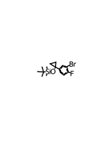 CC(C)(C)[Si](C)(C)OC1(c2ccc(F)c(Br)c2)CC1